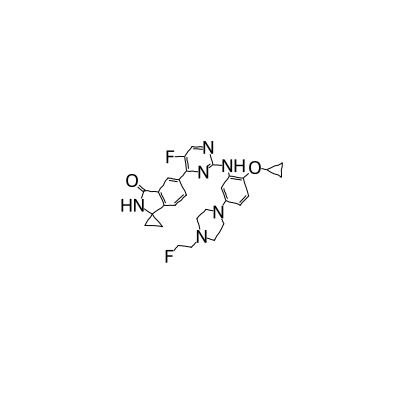 O=C1NC2(CC2)c2ccc(-c3nc(Nc4cc(N5CCN(CCF)CC5)ccc4OC4CC4)ncc3F)cc21